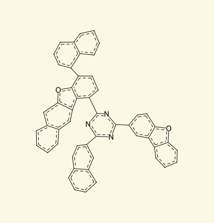 c1ccc2cc(-c3nc(-c4ccc5oc6ccccc6c5c4)nc(-c4ccc(-c5cccc6ccccc56)c5oc6cc7ccccc7cc6c45)n3)ccc2c1